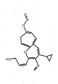 C=NC1=C(/C=C\CO)OC2=CCC(ON=O)=CC=C2C=C1C1CC1